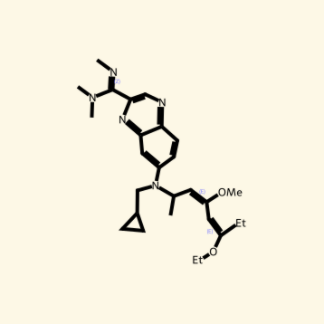 CCO/C(=C/C(=C\C(C)N(CC1CC1)c1ccc2ncc(/C(=N/C)N(C)C)nc2c1)OC)CC